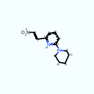 O=[N+]([O-])/C=C/c1cccc(N2CCCCC2)n1